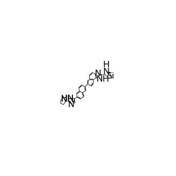 C[Si]1(C)CN[C@H](c2nc3ccc4cc(-c5ccc6cc(-c7cnc([C@@H]8CCCN8)[nH]7)ccc6c5)ccc4c3[nH]2)C1